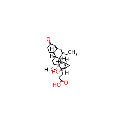 CC[C@@H]1CC2=CC(=O)CC[C@@H]2[C@H]2CC[C@@]3(CC)[C@@H]([C@H]4C[C@H]4[C@@]3(O)CCC(=O)O)[C@H]12